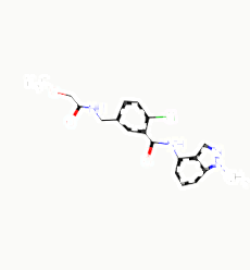 COCC(=O)NCc1ccc(Cl)c(C(=O)Nc2cccc3c2cnn3C)c1